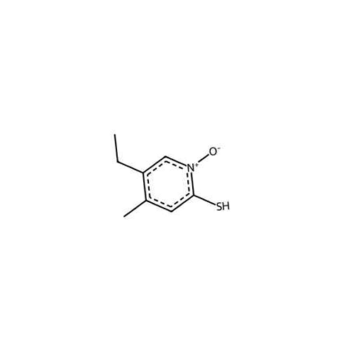 CCc1c[n+]([O-])c(S)cc1C